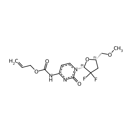 C=CCOC(=O)Nc1ccn([C@@H]2O[C@H](COC)CC2(F)F)c(=O)n1